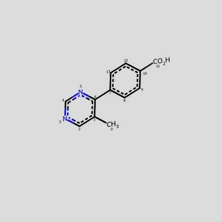 Cc1cncnc1-c1ccc(C(=O)O)cc1